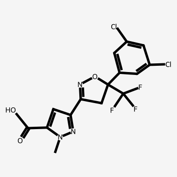 Cn1nc(C2=NOC(c3cc(Cl)cc(Cl)c3)(C(F)(F)F)C2)cc1C(=O)O